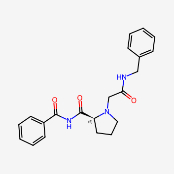 O=C(CN1CCC[C@H]1C(=O)NC(=O)c1ccccc1)NCc1ccccc1